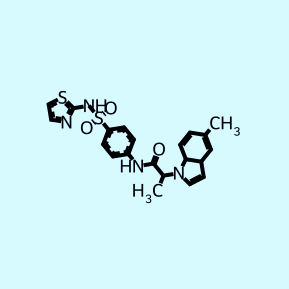 CC1=CC2C=CN(C(C)C(=O)Nc3ccc(S(=O)(=O)Nc4nccs4)cc3)C2C=C1